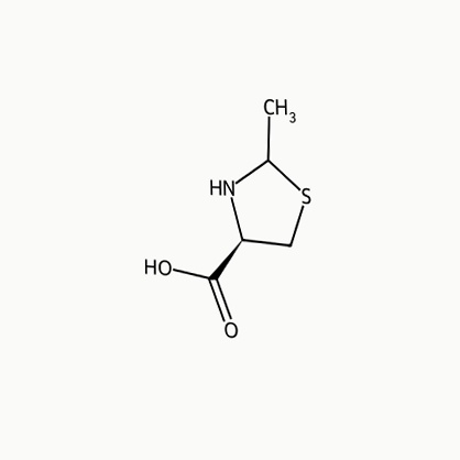 CC1N[C@H](C(=O)O)CS1